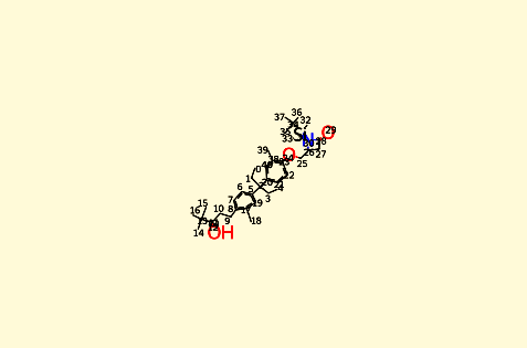 CCC(CC)(c1ccc(CC[C@H](O)C(C)(C)C)c(C)c1)c1ccc(OCC2CC(=O)N2[Si](C)(C)C(C)(C)C)c(C)c1